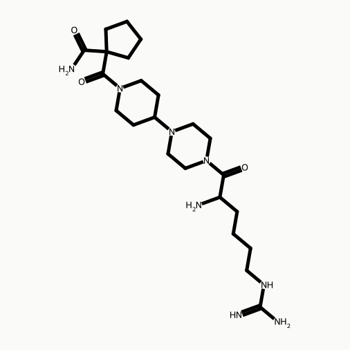 N=C(N)NCCCCC(N)C(=O)N1CCN(C2CCN(C(=O)C3(C(N)=O)CCCC3)CC2)CC1